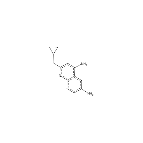 Nc1ccc2nc(CC3CC3)cc(N)c2c1